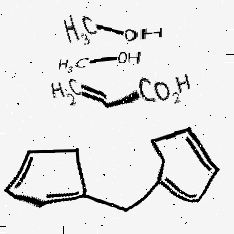 C1=CCC(CC2=CC=CC2)=C1.C=CC(=O)O.CO.CO